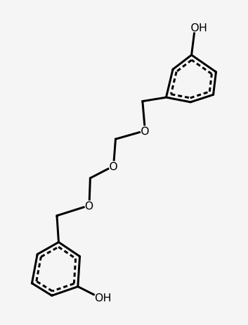 Oc1cccc(COCOCOCc2cccc(O)c2)c1